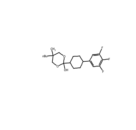 CCCCC1(C)COC(O)(C2CCC(c3cc(F)c(F)c(F)c3)CC2)OC1